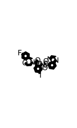 O=C(c1ccc(I)cc1NS(=O)(=O)c1cccc2nccnc12)N1CCOc2cc(F)ccc2C1